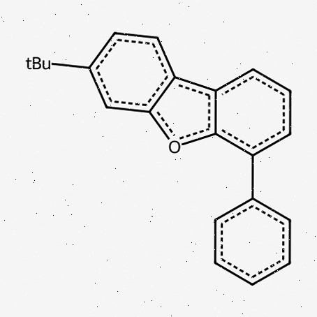 CC(C)(C)c1ccc2c(c1)oc1c(-c3ccccc3)cccc12